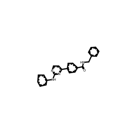 O=C(NCc1ccccc1)c1ccc(-c2ccnc(Nc3ccccc3)n2)cc1